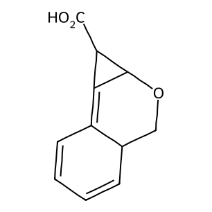 O=C(O)C1C2=C3C=CC=CC3COC21